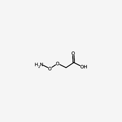 NOOCC(=O)O